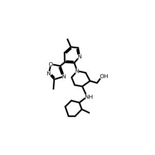 Cc1cnc(N2CCC(NC3CCCCC3C)C(CO)C2)c(-c2nc(C)no2)c1